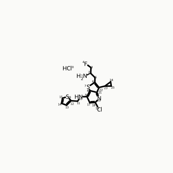 Cl.N[C@@H](CF)Cc1sc2c(NCc3cccs3)cc(Cl)nc2c1C1CC1